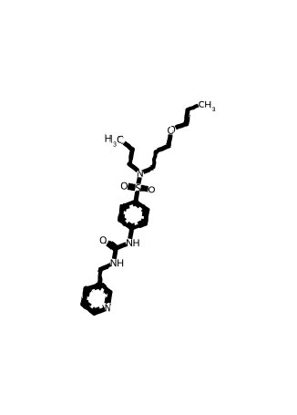 CCCOCCCN(CCC)S(=O)(=O)c1ccc(NC(=O)NCc2cccnc2)cc1